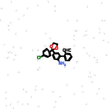 Nc1ccc(C2(c3ccc(Cl)cc3)OCCO2)cc1-c1ccccc1C=O